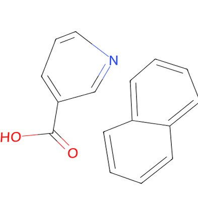 O=C(O)c1cccnc1.c1ccc2ccccc2c1